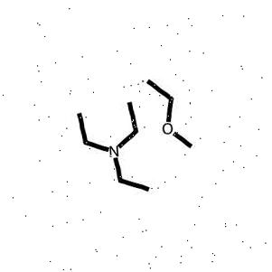 CCN(CC)CC.[CH2]COC